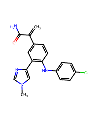 C=C(C(N)=O)c1ccc(Nc2ccc(Cl)cc2)c(-c2cn(C)cn2)c1